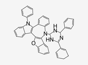 C1=CC(C2=NC(c3ccccc3)NC(N3c4ccccc4-c4c(c5ccccc5n4-c4ccccc4)-c4oc5ccccc5c43)N2)=CCC1